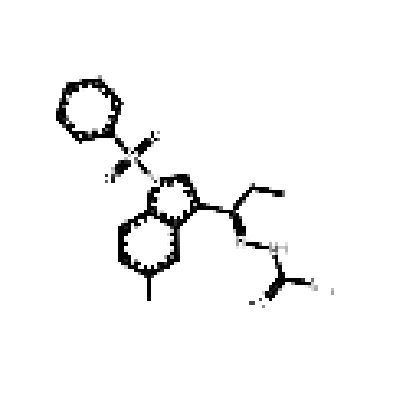 CCC(=NNC(=N)N)c1cn(S(=O)(=O)c2ccccc2)c2ccc(F)cc12